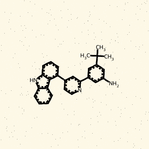 CC(C)(C)c1cc(N)cc(-c2cc(-c3cccc4[nH]c5ccccc5c34)ccn2)c1